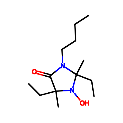 CCCCN1C(=O)C(C)(CC)N(O)C1(C)CC